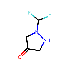 O=C1[CH]NN(C(F)F)C1